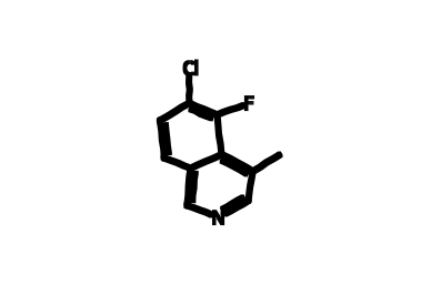 Cc1cncc2ccc(Cl)c(F)c12